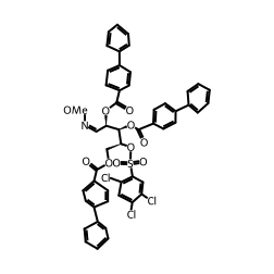 CO/N=C\[C@@H](OC(=O)c1ccc(-c2ccccc2)cc1)[C@@H](OC(=O)c1ccc(-c2ccccc2)cc1)[C@H](COC(=O)c1ccc(-c2ccccc2)cc1)OS(=O)(=O)c1cc(Cl)c(Cl)cc1Cl